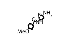 COc1ccc(C(=O)Nc2ccc(N)nc2)cc1